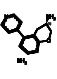 N.N[C@@H]1COc2cccc(-c3ccncc3)c2C1